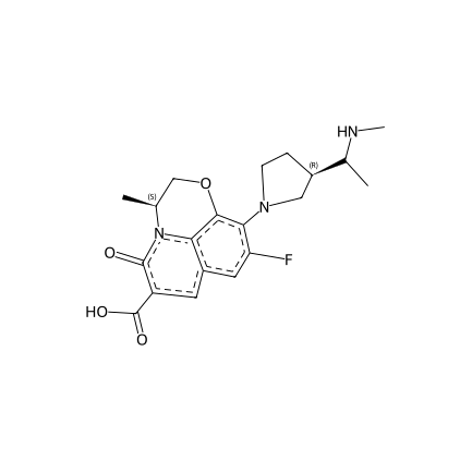 CNC(C)[C@@H]1CCN(c2c(F)cc3cc(C(=O)O)c(=O)n4c3c2OC[C@@H]4C)C1